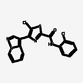 O=C(Nc1ccccc1Cl)c1nc(-c2cnn3ccccc23)c(Cl)s1